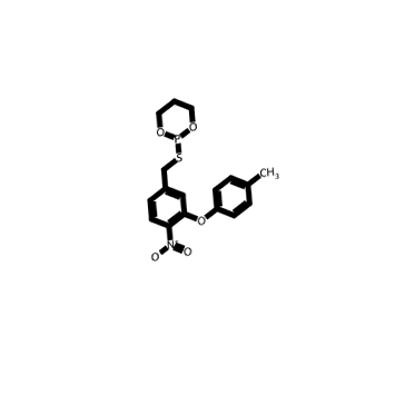 Cc1ccc(Oc2cc(CSP3OCCCO3)ccc2[N+](=O)[O-])cc1